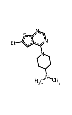 CCc1cc2c(N3CCC(N(C)C)CC3)ncnc2s1